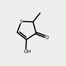 CC1SC=C(O)C1=O